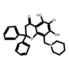 CC(=O)c1c(O)c(CN2CCCCC2)c2c(c1O)C(=O)CC(c1ccccc1)(c1ccccc1)O2